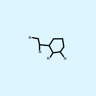 BrCC(Br)C1CCCC(Br)C1Br